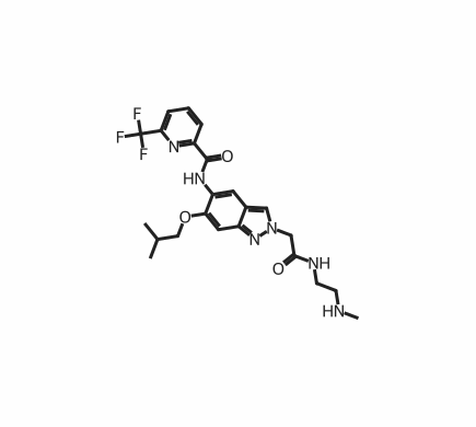 CNCCNC(=O)Cn1cc2cc(NC(=O)c3cccc(C(F)(F)F)n3)c(OCC(C)C)cc2n1